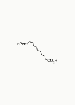 CCCCC/C=C\C/C=C/CCCCC(=O)O